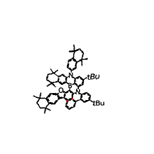 CC(C)(C)c1ccc(N2c3cc(C(C)(C)C)cc4c3B(c3cc5c(cc3N4c3ccc4c(c3)C(C)(C)CCC4(C)C)C(C)(C)CCC5(C)C)c3c2ccc2c3oc3cc4c(cc32)C(C)(C)CCC4(C)C)c(-c2ccccc2)c1